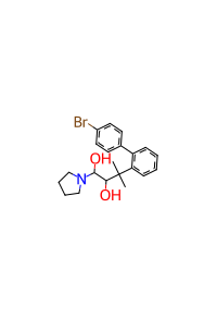 CC(C)(c1ccccc1-c1ccc(Br)cc1)C(O)C(O)N1CCCC1